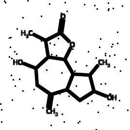 C=C1CC(O)C2C(C)C(=O)OC2C2C1CC(O)C2C